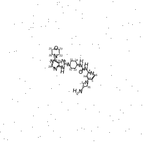 NC1CN(c2ccnc(NC(=O)NC3CCN(c4nc5c(N6CCOCC6)ncnc5[nH]4)CC3)c2)C1